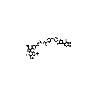 CC(C)(C)n1nc(-c2noc(C3CC3)c2-c2ncc(C3CN(C(=O)OCC(=O)N4CCC(CN5CCN(c6c(F)cc(C7CCC(=O)NC7=O)cc6F)CC5)CC4)C3)cn2)c2c(N)ncnc21